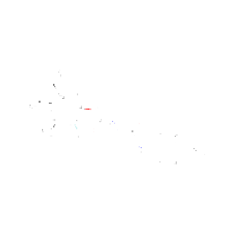 CC(=O)OC[C@H]1O[C@@H](OC(=O)NCC(=O)Nc2ccc([N+](=O)[O-])cc2)[C@@H](F)[C@@H](OC(C)=O)[C@@H]1OC(C)=O